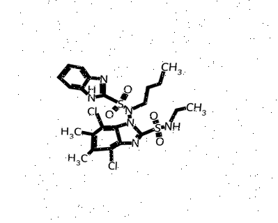 CCCCN(n1c(S(=O)(=O)NCC)nc2c(Cl)c(C)c(C)c(Cl)c21)S(=O)(=O)c1nc2ccccc2[nH]1